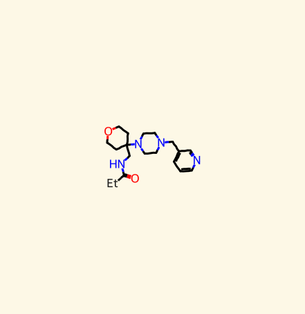 CCC(=O)NCC1(N2CCN(Cc3cccnc3)CC2)CCOCC1